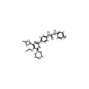 CCOc1c(C2OC(C)O2)nc(-c2ccc(NC(=O)Nc3ccc(F)cc3)cc2)nc1N1CCOCC1